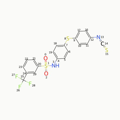 O=S(=O)(Nc1ccc(Sc2ccc(N=C=S)cc2)cc1)c1cccc(C(F)(F)F)c1